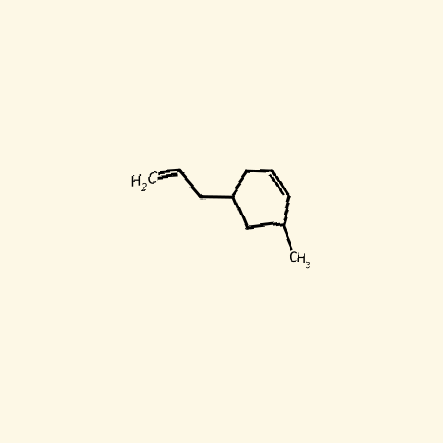 C=CCC1CC=CC(C)C1